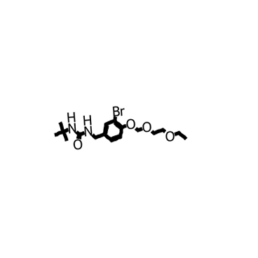 CCOCCOCOc1ccc(CNC(=O)NC(C)(C)C)cc1Br